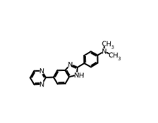 CN(C)c1ccc(-c2nc3cc(-c4ncccn4)ccc3[nH]2)cc1